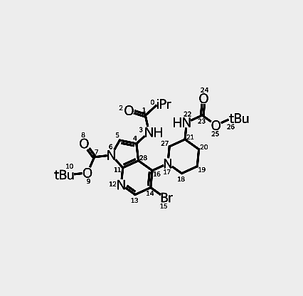 CC(C)C(=O)Nc1cn(C(=O)OC(C)(C)C)c2ncc(Br)c(N3CCCC(NC(=O)OC(C)(C)C)C3)c12